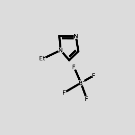 CCn1ccnc1.F[B-](F)(F)F